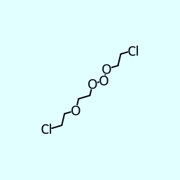 ClCCOCCOOOCCCl